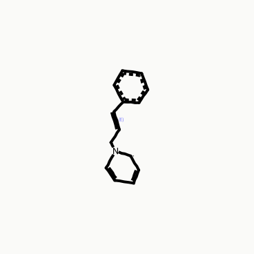 [CH]1C=CC=CN1C/C=C/c1ccccc1